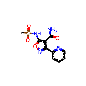 CS(=O)(=O)Nc1onc(-c2ccccn2)c1C(N)=O